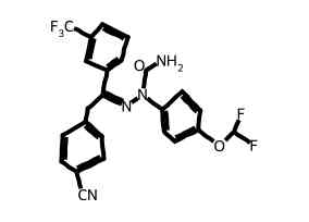 N#Cc1ccc(CC(=NN(C(N)=O)c2ccc(OC(F)F)cc2)c2cccc(C(F)(F)F)c2)cc1